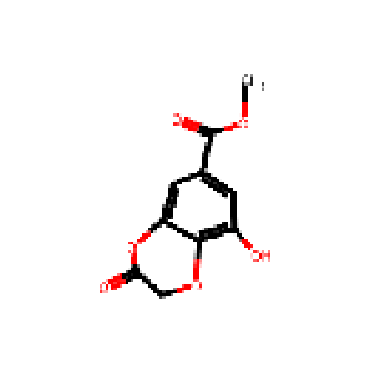 COC(=O)c1cc(O)c2c(c1)OC(=O)CO2